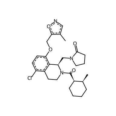 Cc1cnoc1COc1ccc(Cl)c2c1[C@@H](CN1CCCC1=O)N(C(=O)[C@@H]1CCCC[C@@H]1C)CC2